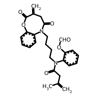 C=C(C)CC(=O)N(CCCCN1C(=O)CC(=C)C(=O)Oc2ccccc21)c1ccccc1OC=O